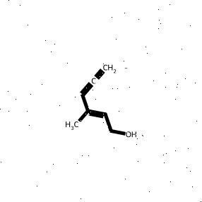 C=C=CC(C)=CCO